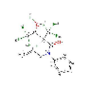 C=CCN(C(=O)C(F)(C(OF)C(F)(F)F)C(F)(F)F)c1ccccc1